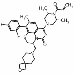 C=CC(=O)N1[C@H](C)CN(c2nc(=O)n3c4c(c(-c5ccc(F)cc5F)c(C)cc24)SC[C@@H]3CN2CCC3(CC2)COC3)C[C@@H]1C